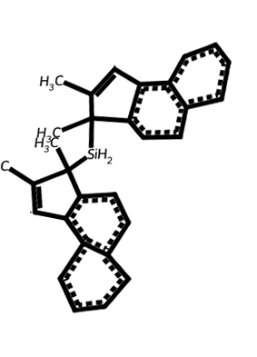 CC1=[C]c2c(ccc3ccccc23)C1(C)[SiH2]C1(C)C(C)=[C]c2c1ccc1ccccc21